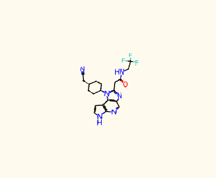 N#CC[C@H]1CC[C@@H](n2c(CC(=O)NCC(F)(F)F)nc3cnc4[nH]ccc4c32)CC1